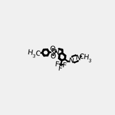 Cc1ccc(S(=O)(=O)n2ccc3cc(CN4CCN(C)CC4)c(C(F)(F)F)cc32)cc1